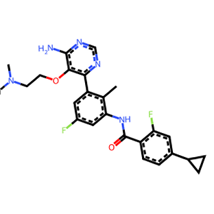 Cc1c(NC(=O)c2ccc(C3CC3)cc2F)cc(F)cc1-c1ncnc(N)c1OCCN(C)N=O